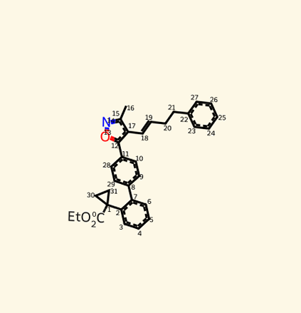 CCOC(=O)C1(c2ccccc2-c2ccc(-c3onc(C)c3/C=C/CCc3ccccc3)cc2)CC1